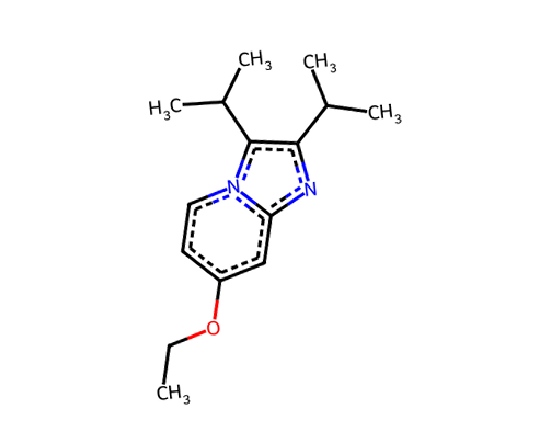 CCOc1ccn2c(C(C)C)c(C(C)C)nc2c1